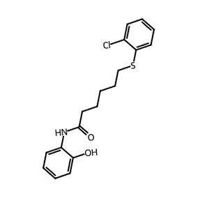 O=C(CCCCCSc1ccccc1Cl)Nc1ccccc1O